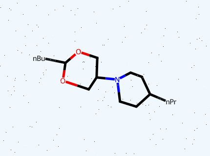 CCCCC1OCC(N2CCC(CCC)CC2)CO1